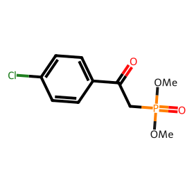 COP(=O)(CC(=O)c1ccc(Cl)cc1)OC